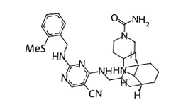 CSc1ccccc1CNc1ncc(C#N)c(NCC2C[C@H]3CCC[C@@H](C2)[C@@H]3NC2CCN(C(N)=O)CC2)n1